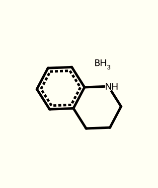 B.c1ccc2c(c1)CCCN2